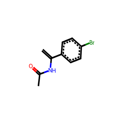 C=C(NC(C)=O)c1ccc(Br)cc1